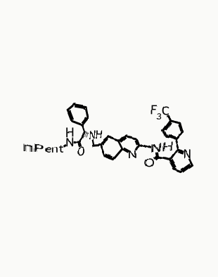 CCCCCNC(=O)[C@@H](NCc1ccc2nc(NC(=O)c3cccnc3-c3ccc(C(F)(F)F)cc3)ccc2c1)c1ccccc1